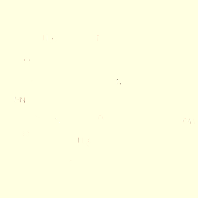 COc1c(N2CC3=CCC(O)C3C2)c(F)c(C)c2c(=O)[nH]c(=O)n(C3CC3)c12